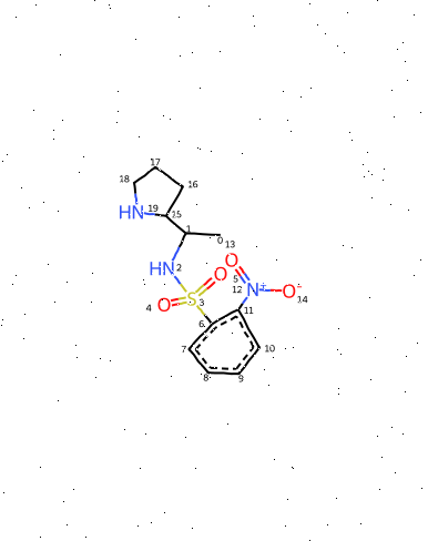 CC(NS(=O)(=O)c1ccccc1[N+](=O)[O-])C1CCCN1